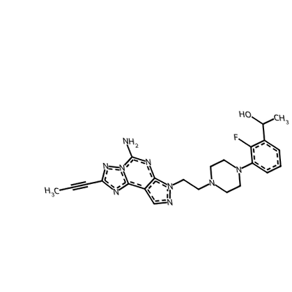 CC#Cc1nc2c3cnn(CCN4CCN(c5cccc(C(C)O)c5F)CC4)c3nc(N)n2n1